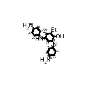 CCC1=C(O)C(=Nc2ccc(N)cc2)C=C(Nc2ccc(N)cc2)C1=O